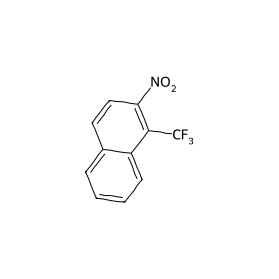 O=[N+]([O-])c1ccc2ccccc2c1C(F)(F)F